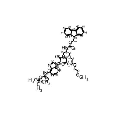 COCCOCCOC[C@@H](CN(CC(=O)O)C(=O)Cn1cnc2c(NC(=O)OC(C)(C)C)ncnc21)NC(=O)OCC1c2ccccc2-c2ccccc21